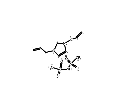 C=CCN1C=CN(CC=C)C1.O=S(=O)(NS(=O)(=O)C(F)(F)F)C(F)(F)F